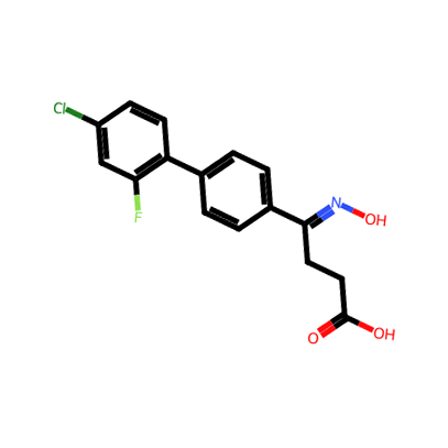 O=C(O)CCC(=NO)c1ccc(-c2ccc(Cl)cc2F)cc1